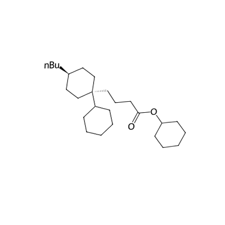 CCCC[C@H]1CC[C@@](CCCC(=O)OC2CCCCC2)(C2CCCCC2)CC1